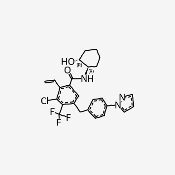 C=Cc1c(C(=O)N[C@@H]2CCCC[C@H]2O)cc(Cc2ccc(-n3cccn3)cc2)c(C(F)(F)F)c1Cl